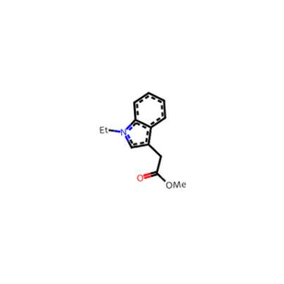 CCn1cc(CC(=O)OC)c2ccccc21